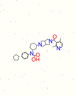 C1CCCC1.Cc1ccnc(C)c1C(=O)N1CC2CN(C3CCCC(N(C(=O)O)c4ccccc4)C3)CC2C1